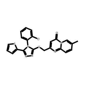 Cc1ccc2nc(CSc3nnc(-c4cccs4)n3-c3ccccc3Cl)cc(=O)n2c1